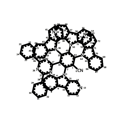 N#Cc1c(-n2c3ccccc3c3ccncc32)c(-c2nc(-c3ccccc3)nc(-c3ccccc3)n2)c(-n2c3ccccc3c3ccncc32)c(-n2c3ccccc3c3ccncc32)c1-n1c2ccccc2c2ccncc21